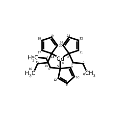 CCC[C]1([Gd]([C]2(CCC)C=CC=C2)[C]2(CCC)C=CC=C2)C=CC=C1